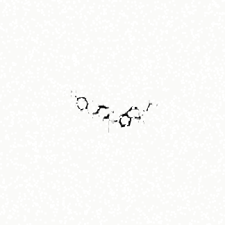 N[C@H]1CC[C@@H](Nc2nc(Nc3ccc4c(=O)n(CCO)ccc4c3)ncc2C(F)(F)F)CC1